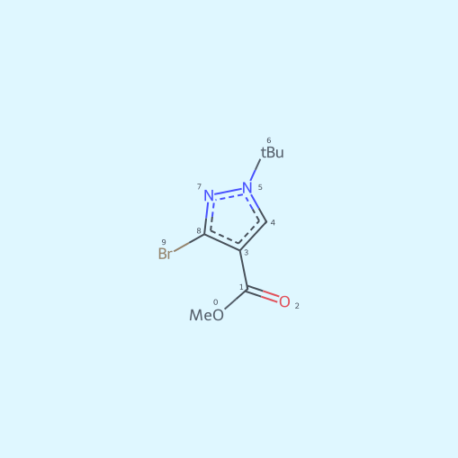 COC(=O)c1cn(C(C)(C)C)nc1Br